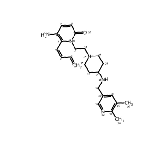 C=C/C=C\c1c(N)ccc(=O)n1CCN1CCC(NCc2cnc(C)c(C)c2)CC1